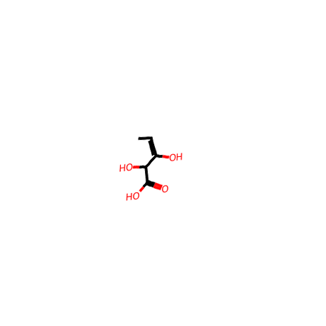 C/C=C(/O)C(O)C(=O)O